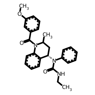 CCNC(=O)N(c1ccccc1)[C@H]1CC(C)N(C(=O)c2cccc(OC)c2)c2ccccc21